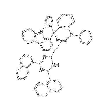 c1ccc(P2c3ccccc3C3(c4ccccc4-n4c5ccccc5c5cccc3c54)c3cc(C4N=C(c5cccc6ccccc56)N=C(c5cccc6ccccc56)N4)ccc32)cc1